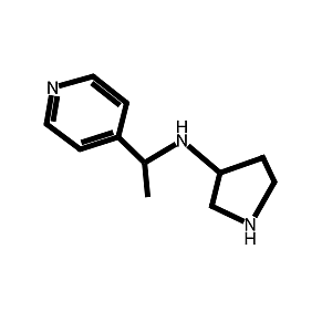 CC(NC1CCNC1)c1ccncc1